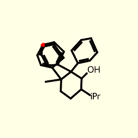 CC(C)C1CCC(C)(c2ccccc2)C(c2ccccc2)(c2ccccc2)C1O